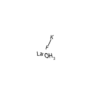 O.[F][K].[La]